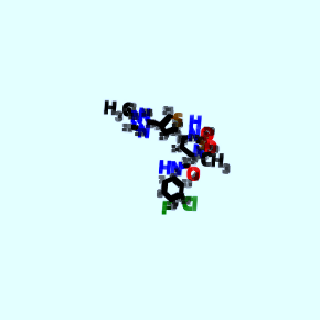 CN1[C@H](C(=O)Nc2ccc(F)c(Cl)c2)C[C@H](c2cc(-c3ncn(C)n3)cs2)NS1(=O)=O